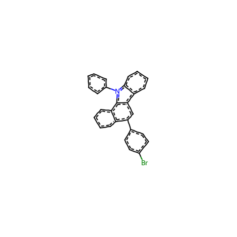 Brc1ccc(-c2cc3c4ccccc4n(-c4ccccc4)c3c3ccccc23)cc1